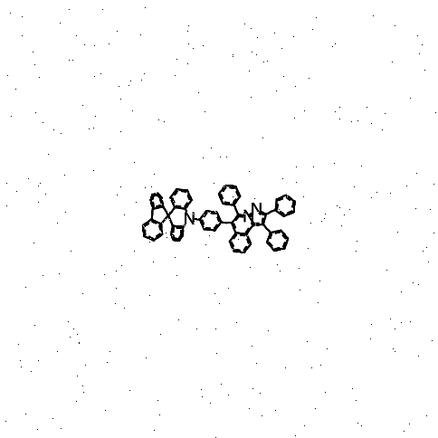 c1ccc(-c2nn3c(-c4ccccc4)c(-c4ccc(N5c6ccccc6C6(c7ccccc7-c7ccccc76)c6ccccc65)cc4)c4ccccc4c3c2-c2ccccc2)cc1